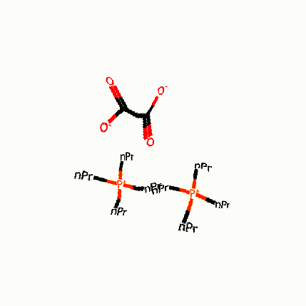 CCC[P+](CCC)(CCC)CCC.CCC[P+](CCC)(CCC)CCC.O=C([O-])C(=O)[O-]